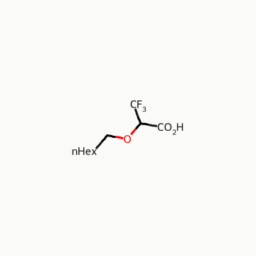 CCCCCCCOC(C(=O)O)C(F)(F)F